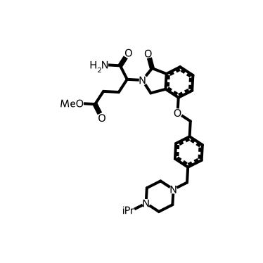 COC(=O)CCC(C(N)=O)N1Cc2c(OCc3ccc(CN4CCN(C(C)C)CC4)cc3)cccc2C1=O